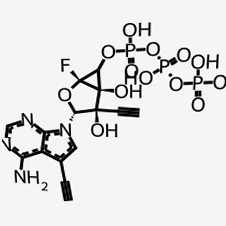 C#Cc1cn([C@@H]2O[C@]3(F)C(OP(=O)(O)OP(=O)(O)OP(=O)(O)O)[C@]3(O)[C@]2(O)C#C)c2ncnc(N)c12